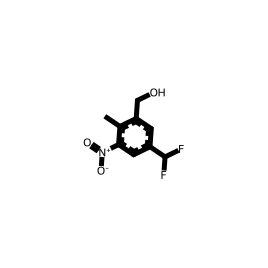 Cc1c(CO)cc(C(F)F)cc1[N+](=O)[O-]